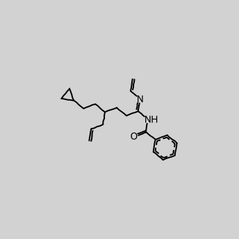 C=CCC(CC/C(=N\C=C)NC(=O)c1ccccc1)CCC1CC1